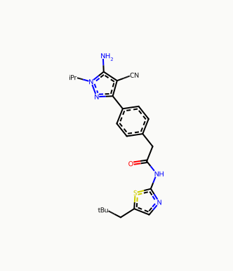 CC(C)n1nc(-c2ccc(CC(=O)Nc3ncc(CC(C)(C)C)s3)cc2)c(C#N)c1N